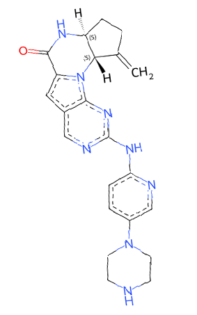 C=C1CC[C@@H]2NC(=O)c3cc4cnc(Nc5ccc(N6CCNCC6)cn5)nc4n3[C@@H]12